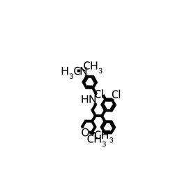 CN(C)c1ccc(CNCCC(C2CCOC(C)(C)C2)C(c2ccccc2)c2ccc(Cl)c(Cl)c2)cc1